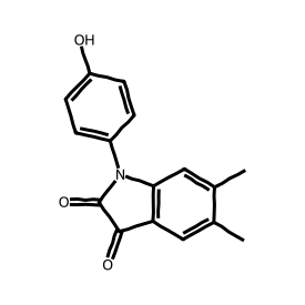 Cc1cc2c(cc1C)N(c1ccc(O)cc1)C(=O)C2=O